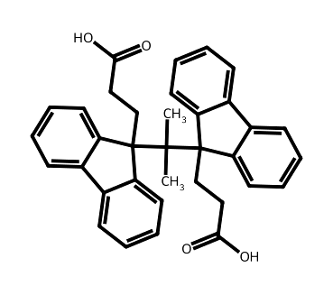 CC(C)(C1(CCC(=O)O)c2ccccc2-c2ccccc21)C1(CCC(=O)O)c2ccccc2-c2ccccc21